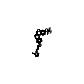 C[C@@H]1CCCN1CCCOc1ccc2c(c1)CCC(C=O)N2c1ccc(OC(F)(F)F)cc1